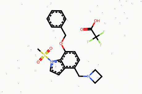 CS(=O)(=O)n1ccc2c(CN3CCC3)ccc(OCc3ccccc3)c21.O=C(O)C(F)(F)F